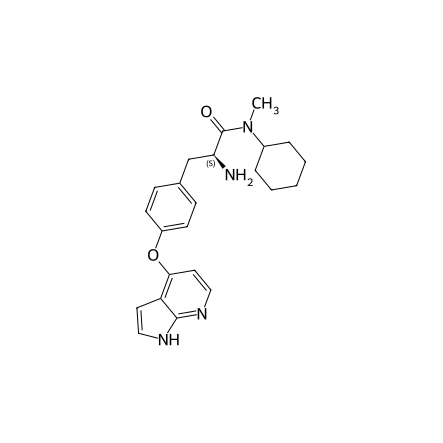 CN(C(=O)[C@@H](N)Cc1ccc(Oc2ccnc3[nH]ccc23)cc1)C1CCCCC1